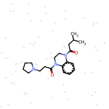 CC(C)CC(=O)N1CCN(C(=O)CCN2CCCC2)c2ccccc21